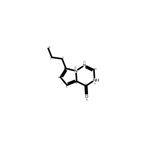 CCCc1ccc2c(=O)[nH]cnn12